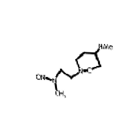 CNC1CCN(CCN(C)N=O)CC1